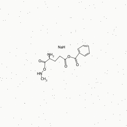 CNOC(=O)[C@@H](N)CCC(=O)OC(=O)c1ccccc1.[NaH]